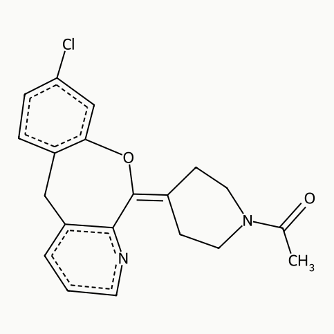 CC(=O)N1CCC(=C2Oc3cc(Cl)ccc3Cc3cccnc32)CC1